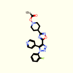 CC(C)(C)C(=O)ON1CCC(c2noc(-c3nnn(-c4ccccc4F)c3-c3ccncc3)n2)CC1